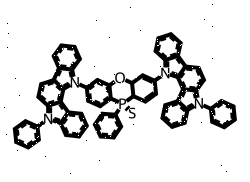 S=P1(c2ccccc2)c2ccc(-n3c4ccccc4c4ccc5c(c6ccccc6n5-c5ccccc5)c43)cc2OC2C=C(n3c4ccccc4c4ccc5c(c6ccccc6n5-c5ccccc5)c43)C=CC21